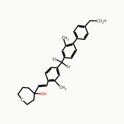 CCC(CC)(c1ccc(C=CC2(O)CCCCCC2)c(C)c1)c1ccc(-c2ccc(CC(=O)O)cc2)c(C)c1